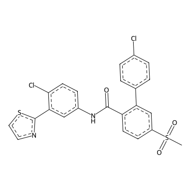 CS(=O)(=O)c1ccc(C(=O)Nc2ccc(Cl)c(-c3nccs3)c2)c(-c2ccc(Cl)cc2)c1